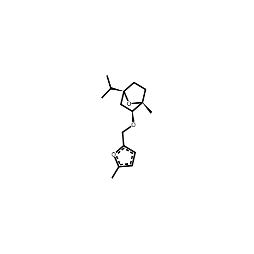 Cc1ccc(CO[C@H]2C[C@]3(C(C)C)CC[C@@]2(C)O3)o1